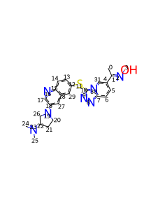 C/C(=N\O)c1ccc2nnc(Sc3ccc4ncc(N5CC[C@H](N(C)C)C5)cc4c3)n2c1